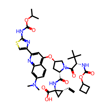 C=C[C@@H]1C[C@]1(NC(=O)[C@@H]1C[C@@H](Oc2cc(-c3csc(NC(=O)OC(C)C)n3)nc3cc(N(C)C)ccc23)CN1C(=O)[C@@H](NC(=O)OC1CCC1)C(C)(C)C)C(=O)O